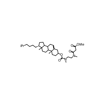 COC(=O)CC(=O)N(C)CCN(C)C(=O)OC1CC[C@@]2(C)C(=CCC3C4CC[C@H](CCCCC(C)C)C4(C)CCC32)C1